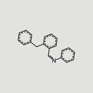 C(=N/c1ccccc1)/c1ccccc1Cc1ccccc1